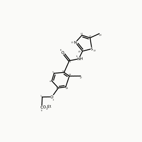 CCOC(=O)COc1ccc(C(=O)Nc2ncc(C)s2)c(C)c1